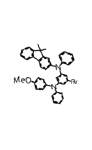 COc1ccc(N(c2ccccc2)c2cc(Br)cc(N(c3ccccc3)c3ccc4c(c3)C(C)(C)c3ccccc3-4)c2)cc1